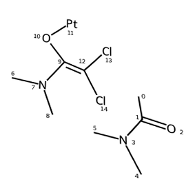 CC(=O)N(C)C.CN(C)C([O][Pt])=C(Cl)Cl